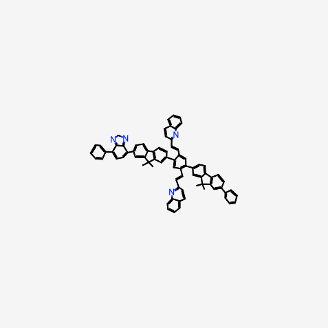 CC1(C)c2cc(-c3ccccc3)ccc2-c2ccc(-c3cc(/C=C/c4ccc5ccccc5n4)c(-c4ccc5c(c4)C(C)(C)c4cc(-c6ccc(-c7ccccc7)c7c6=NCN=7)ccc4-5)cc3/C=C/c3ccc4ccccc4n3)cc21